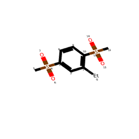 [CH2]Cc1cc(S(C)(=O)=O)ccc1S(C)(=O)=O